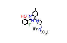 Cc1ccc2c(N3CC[C@H](CN(C(=O)O)C(C)C)C3)nc(-c3c(O)cccc3F)nc2c1